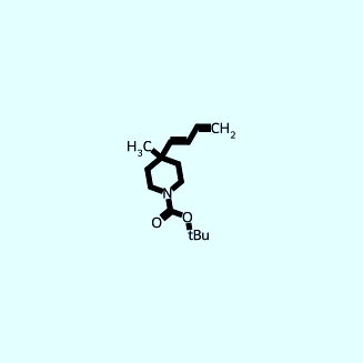 C=CC=CC1(C)CCN(C(=O)OC(C)(C)C)CC1